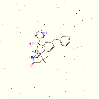 CC1(C)CC(=O)CC(C)(C)P1c1ccc(Cc2ccccc2)cc1C(P)(c1cc[nH]c1)c1cc[nH]c1